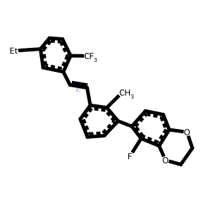 CCc1ccc(C(F)(F)F)c(/C=C/c2cccc(-c3ccc4c(c3F)OCCO4)c2C)c1